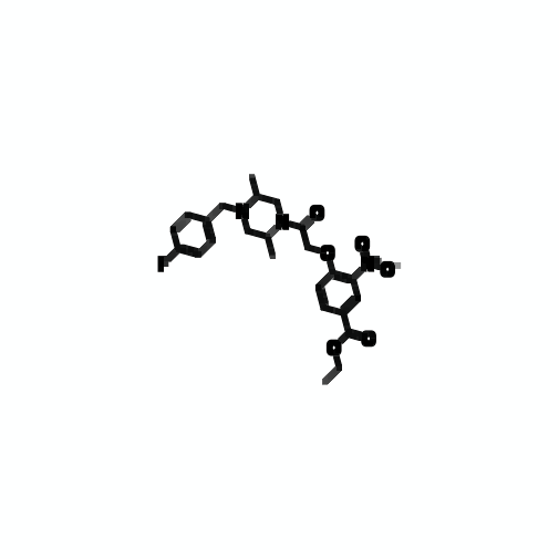 CCOC(=O)c1ccc(OCC(=O)N2CC(C)N(Cc3ccc(F)cc3)CC2C)c([N+](=O)[O-])c1